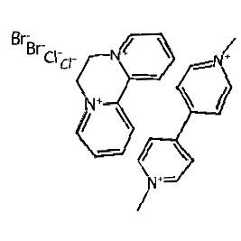 C[n+]1ccc(-c2cc[n+](C)cc2)cc1.[Br-].[Br-].[Cl-].[Cl-].c1cc[n+]2c(c1)-c1cccc[n+]1CC2